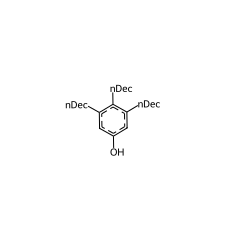 CCCCCCCCCCc1cc(O)cc(CCCCCCCCCC)c1CCCCCCCCCC